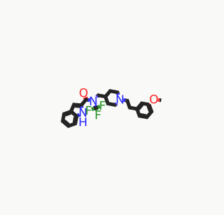 COc1cccc(CCN2CCC(CN(C(=O)c3cc4ccccc4[nH]3)C(F)(F)F)CC2)c1